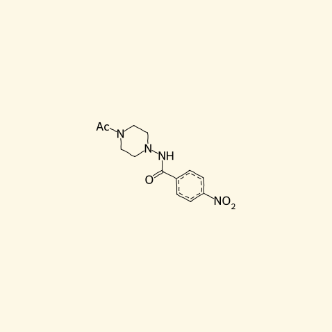 CC(=O)N1CCN(NC(=O)c2ccc([N+](=O)[O-])cc2)CC1